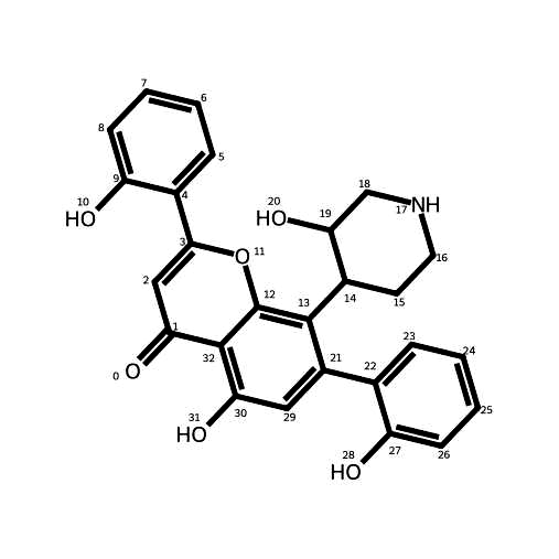 O=c1cc(-c2ccccc2O)oc2c(C3CCNCC3O)c(-c3ccccc3O)cc(O)c12